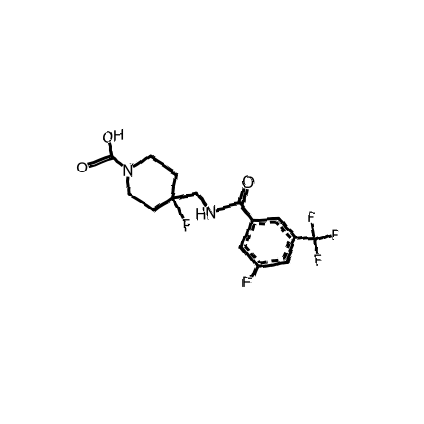 O=C(NCC1(F)CCN(C(=O)O)CC1)c1cc(F)cc(C(F)(F)F)c1